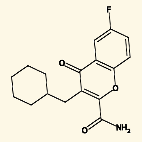 NC(=O)c1oc2ccc(F)cc2c(=O)c1CC1CCCCC1